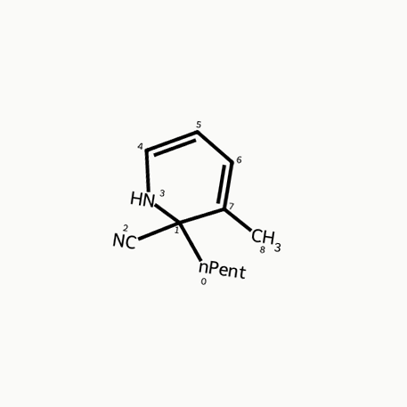 CCCCCC1(C#N)NC=CC=C1C